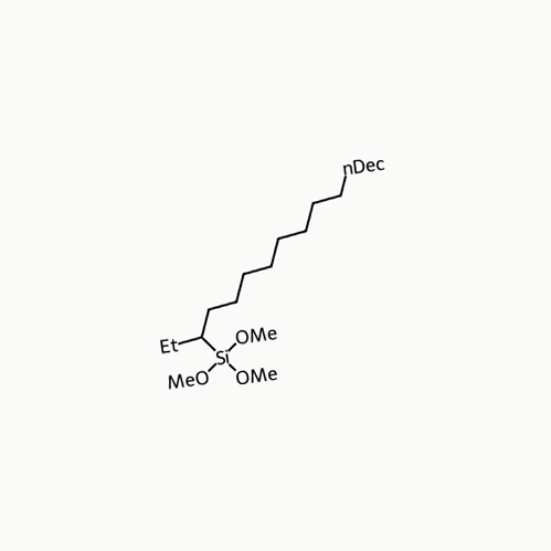 CCCCCCCCCCCCCCCCCCC(CC)[Si](OC)(OC)OC